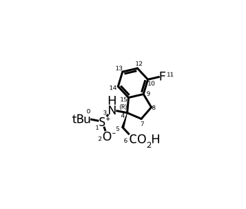 CC(C)(C)[S+]([O-])N[C@@]1(CC(=O)O)CCc2c(F)cccc21